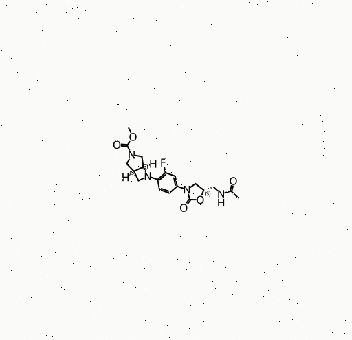 COC(=O)N1C[C@@H]2CN(c3ccc(N4C[C@H](CNC(C)=O)OC4=O)cc3F)[C@@H]2C1